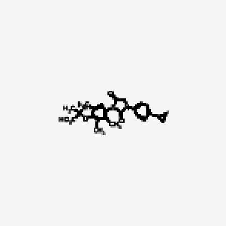 Cc1cc(N2C(=O)CN(c3ccc(C4CC4)cc3)C2=O)c(C)c(C)c1OC(C)(C)C(=O)O